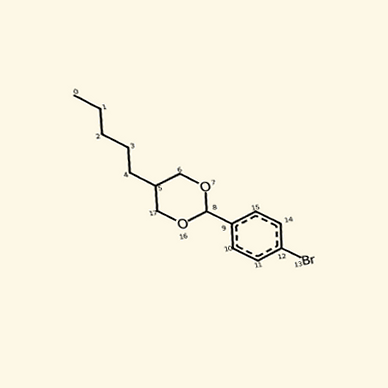 CCCCCC1COC(c2ccc(Br)cc2)OC1